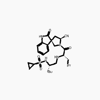 CC(C)C[C@H](NC[C@@H](NS(=O)(=O)C1CC1)C(C)(C)C)C(=O)N1C[C@]2(C[C@H]1C#N)C(=O)Nc1ccccc12